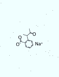 CC(=O)C(C)c1ccccc1C(=O)[O-].[Na+]